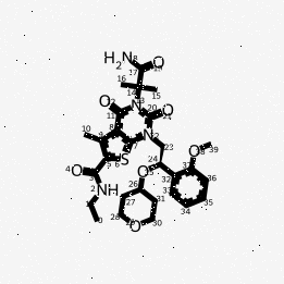 CCNC(=O)c1sc2c(c1C)c(=O)n(C(C)(C)C(N)=O)c(=O)n2C[C@H](OC1CCOCC1)c1ccccc1OC